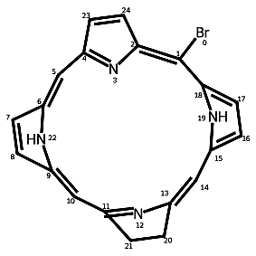 Brc1c2nc(cc3ccc(cc4nc(cc5ccc1[nH]5)CC4)[nH]3)C=C2